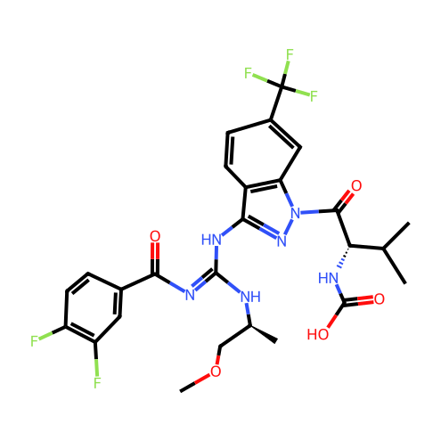 COC[C@H](C)N/C(=N/C(=O)c1ccc(F)c(F)c1)Nc1nn(C(=O)[C@@H](NC(=O)O)C(C)C)c2cc(C(F)(F)F)ccc12